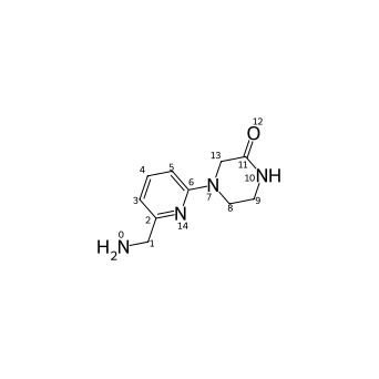 NCc1cccc(N2CCNC(=O)C2)n1